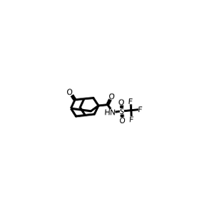 O=C1C2CC3CC1CC(C(=O)NS(=O)(=O)C(F)(F)F)(C3)C2